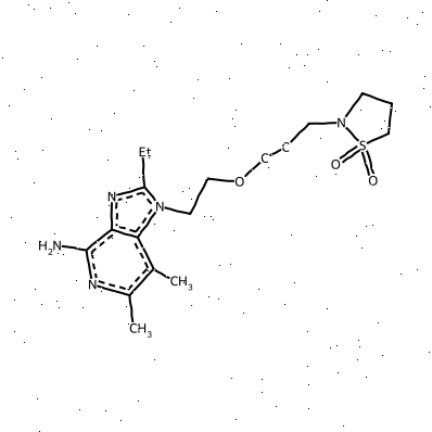 CCc1nc2c(N)nc(C)c(C)c2n1CCOCCCN1CCCS1(=O)=O